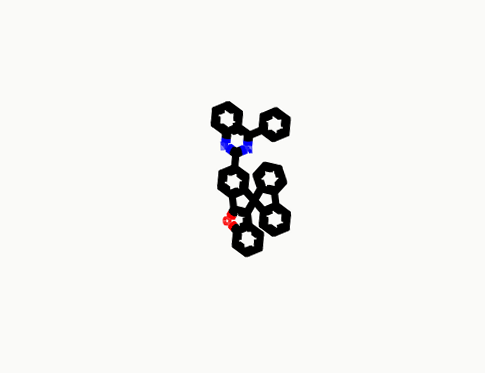 c1ccc(-c2nc(-c3ccc4c(c3)C3(c5ccccc5-c5ccccc53)c3c-4oc4ccccc34)nc3ccccc23)cc1